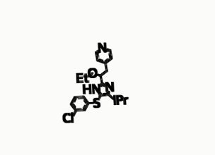 [CH2]COC(Cc1ccncc1)c1nc(C(C)C)c(Sc2cccc(Cl)c2)[nH]1